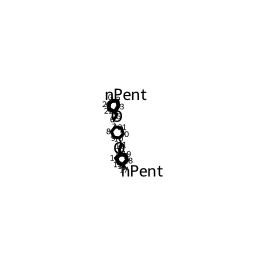 CCCCCc1ccc(OC[C@H]2CC[C@H](COc3ccc(CCCCC)cc3)CC2)cc1